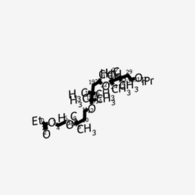 CCC(=O)OCCOC(C)(C)CCOC(C)(C)C(C)(C)CC(C)OC(C)(C)C(C)(C)CCOC(C)C